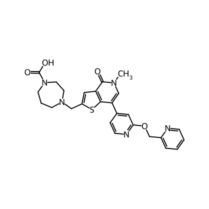 Cn1cc(-c2ccnc(OCc3ccccn3)c2)c2sc(CN3CCCN(C(=O)O)CC3)cc2c1=O